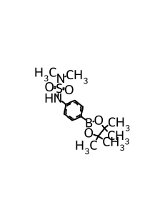 CN(C)S(=O)(=O)Nc1ccc(B2OC(C)(C)C(C)(C)O2)cc1